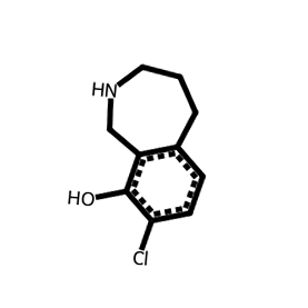 Oc1c(Cl)ccc2c1CNCCC2